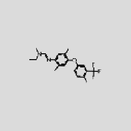 CCN(C)/C=N/c1cc(C)c(Oc2ccc(C)c(C(F)(F)F)c2)cc1C